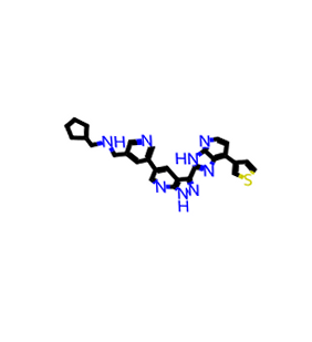 c1cc(-c2ccsc2)c2nc(-c3n[nH]c4ncc(-c5cncc(CNCC6CCCC6)c5)cc34)[nH]c2n1